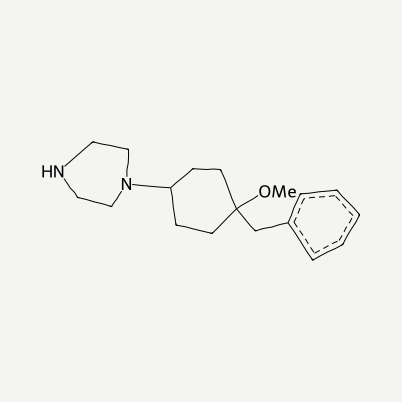 COC1(Cc2ccccc2)CCC(N2CCNCC2)CC1